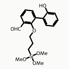 CO[Si](CCCOc1c(C=O)cccc1-c1ccccc1O)(OC)OC